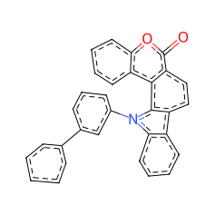 O=c1oc2ccccc2c2c1ccc1c3ccccc3n(-c3cccc(-c4ccccc4)c3)c12